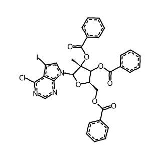 C[C@@]1(OC(=O)c2ccccc2)C(OC(=O)c2ccccc2)[C@@H](COC(=O)c2ccccc2)O[C@H]1n1cc(I)c2c(Cl)ncnc21